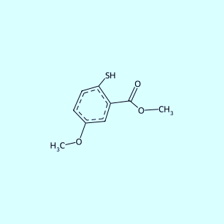 COC(=O)c1cc(OC)ccc1S